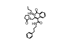 CCCNn1c(CN2CCCC2=O)c(C(=O)NCCCc2ccccc2)c2ccccc2c1=O